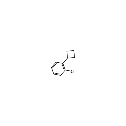 Clc1ccc[c]c1C1CCC1